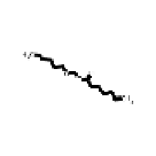 C=CCCCCC(=O)OCOCCCCCC